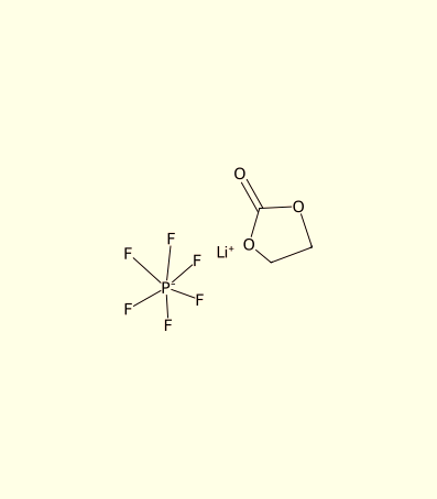 F[P-](F)(F)(F)(F)F.O=C1OCCO1.[Li+]